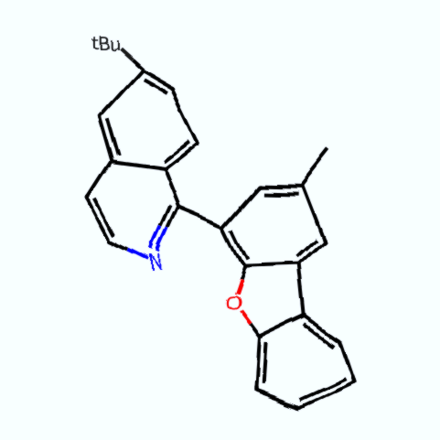 Cc1cc(-c2nccc3cc(C(C)(C)C)ccc23)c2oc3ccccc3c2c1